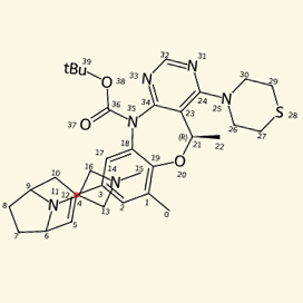 Cc1cc(C2=CC3CCC(C2)N3C2CN(C)C2)cc2c1O[C@H](C)c1c(N3CCSCC3)ncnc1N2C(=O)OC(C)(C)C